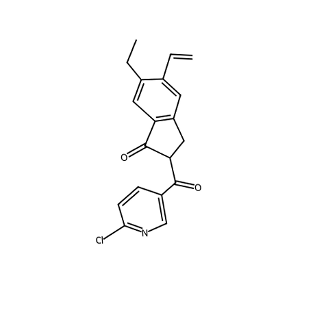 C=Cc1cc2c(cc1CC)C(=O)C(C(=O)c1ccc(Cl)nc1)C2